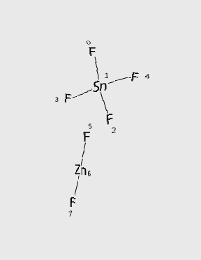 [F][Sn]([F])([F])[F].[F][Zn][F]